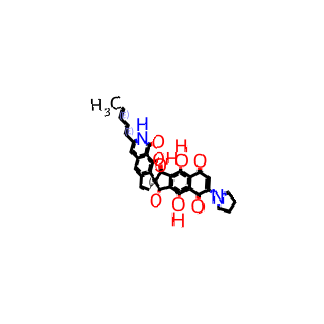 C/C=C/C=C/c1cc2cc3c(c(O)c2c(=O)[nH]1)[C@@]1(CC3)C(=O)c2c(O)c3c(c(O)c2C1=O)C(=O)C(N1CCCC1)=CC3=O